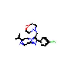 CC(C)c1cn2c(CN3CCOCC3)c(-c3ccc(Cl)cc3)nc2cn1